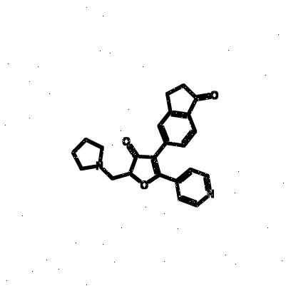 O=C1CCc2cc(C3=C(c4ccncc4)OC(CN4CCCC4)C3=O)ccc21